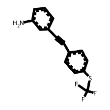 Nc1cccc(C#Cc2ccc(SC(F)(F)F)cc2)c1